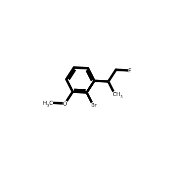 COc1cccc([C](C)CF)c1Br